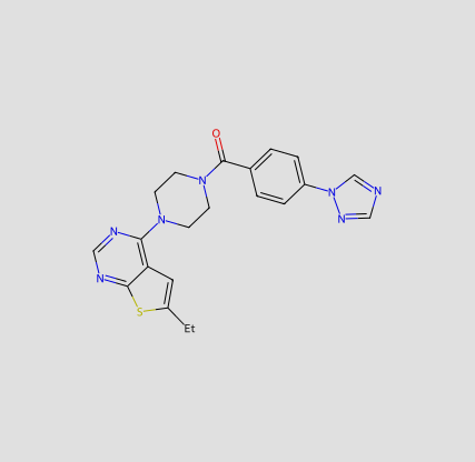 CCc1cc2c(N3CCN(C(=O)c4ccc(-n5cncn5)cc4)CC3)ncnc2s1